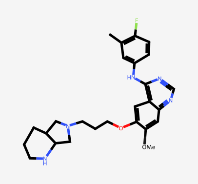 COc1cc2ncnc(Nc3ccc(F)c(C)c3)c2cc1OCCCN1CC2CCCNC2C1